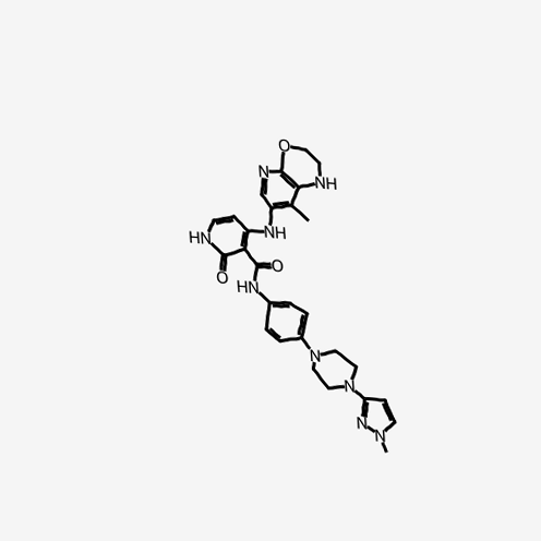 Cc1c(Nc2cc[nH]c(=O)c2C(=O)Nc2ccc(N3CCN(c4ccn(C)n4)CC3)cc2)cnc2c1NCCO2